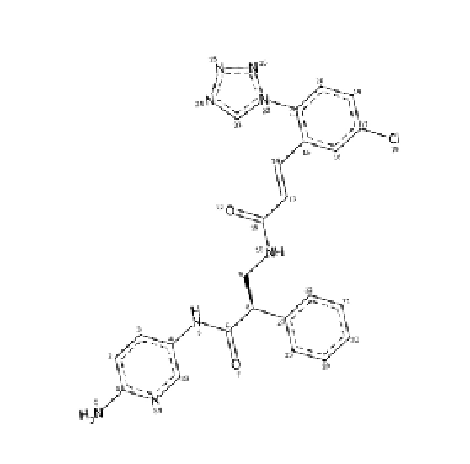 Nc1ccc(NC(=O)[C@@H](CNC(=O)/C=C/c2cc(Cl)ccc2-n2cnnn2)c2ccccc2)cn1